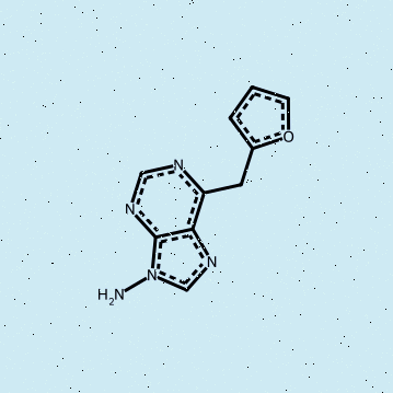 Nn1cnc2c(Cc3ccco3)ncnc21